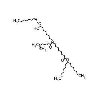 CCCCCC/C=C\COC(O)CCCCCCCN(CCCCCCCC(=O)OC(CCCCCCC)CCCCCCC)C(=O)SCCN(C)C